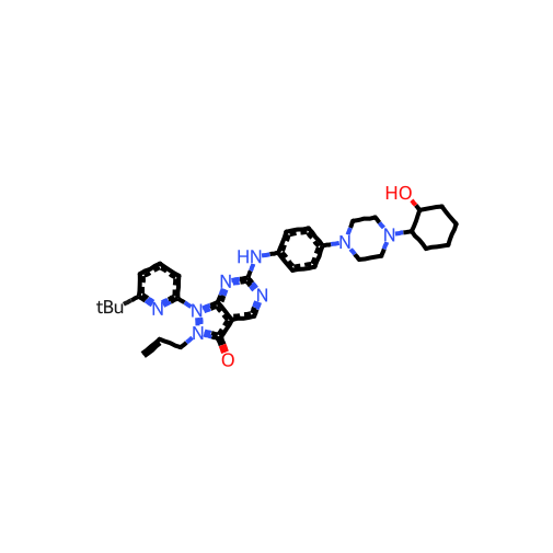 C=CCn1c(=O)c2cnc(Nc3ccc(N4CCN(C5CCCCC5O)CC4)cc3)nc2n1-c1cccc(C(C)(C)C)n1